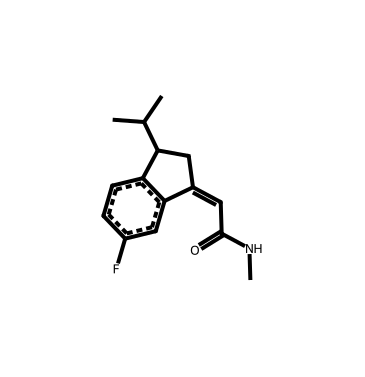 CNC(=O)/C=C1/CC(C(C)C)c2ccc(F)cc21